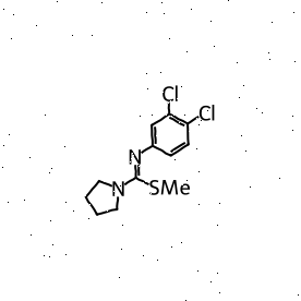 CS/C(=N\c1ccc(Cl)c(Cl)c1)N1CCCC1